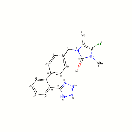 CCCCn1c(Cl)c(CCC)n(Cc2ccc(-c3ccccc3-c3nnn[nH]3)cc2)c1=O